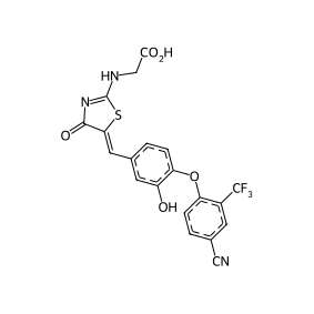 N#Cc1ccc(Oc2ccc(/C=C3\SC(NCC(=O)O)=NC3=O)cc2O)c(C(F)(F)F)c1